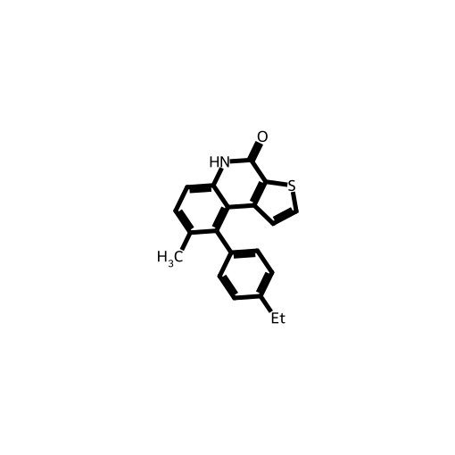 CCc1ccc(-c2c(C)ccc3[nH]c(=O)c4sccc4c23)cc1